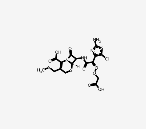 CSCC1=C(C(=O)O)N2C(=O)C(NC(=O)/C(=N\OCC(=O)O)c3nc(N)sc3Cl)[C@H]2SC1